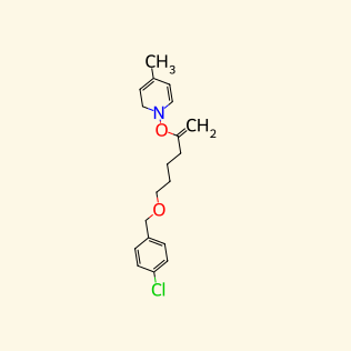 C=C(CCCCOCc1ccc(Cl)cc1)ON1C=CC(C)=CC1